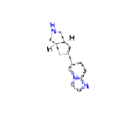 C1=C(c2ccc3nccn3c2)C[C@H]2CNC[C@@H]12